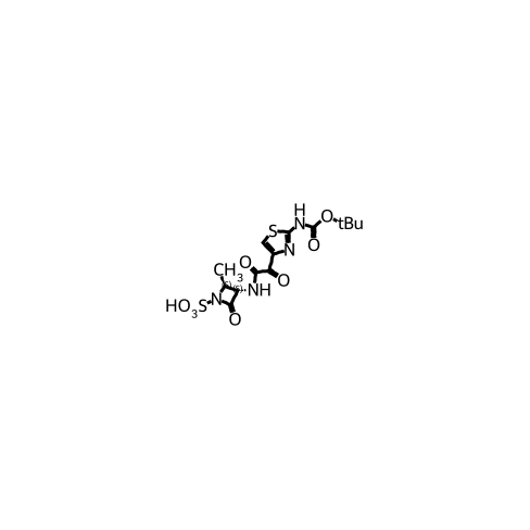 C[C@H]1[C@H](NC(=O)C(=O)c2csc(NC(=O)OC(C)(C)C)n2)C(=O)N1S(=O)(=O)O